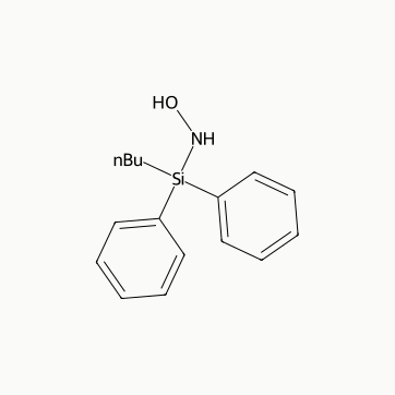 CCCC[Si](NO)(c1ccccc1)c1ccccc1